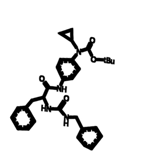 CC(C)(C)OC(=O)N(c1ccc(NC(=O)C(Cc2ccccc2)NC(=O)NCc2ccccc2)cc1)C1CC1